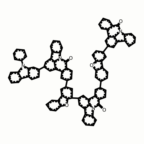 O=c1c2ccccc2c2cc(-c3ccc4oc5cc(-c6ccc7c(=O)n8c9ccccc9c9cc(-c%10cc(-c%11ccc%12c(=O)n%13c%14ccccc%14c%14cc(-c%15ccc%16c%17ccccc%17n(-c%17ccccc%17)c%16c%15)cc(c%12c%11)c%14%13)cc%11c%10oc%10ccccc%10%11)cc(c7c6)c98)ccc5c4c3)cc3c4ccccc4n1c23